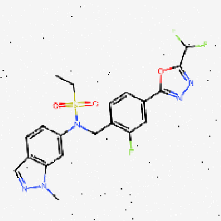 CCS(=O)(=O)N(Cc1ccc(-c2nnc(C(F)F)o2)cc1F)c1ccc2cnn(C)c2c1